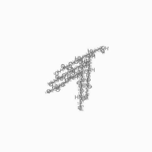 COCCCCC(=O)NCCOCCOCC(=O)NCCCCC(CC(=O)NCCCCC(CO)COC)NC(=O)CC(CCCCNC(=O)COCCOCCNC(=O)CCCCOC)NC(=O)CC(CCCCNC(=O)COCCOCCNC(=O)CCCCOC)NC(=O)CC(CCCCNC(=O)COCCOCCNC(=O)CCCCOC)NC(=O)CCCNC(=O)COCCOCCNC(=O)CCCCOC